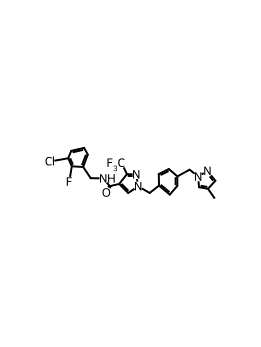 Cc1cnn(Cc2ccc(Cn3cc(C(=O)NCc4cccc(Cl)c4F)c(C(F)(F)F)n3)cc2)c1